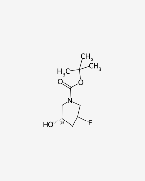 CC(C)(C)OC(=O)N1CC(F)C[C@H](O)C1